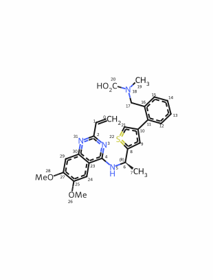 C=Cc1nc(N[C@H](C)c2cc(-c3ccccc3CN(C)C(=O)O)cs2)c2cc(OC)c(OC)cc2n1